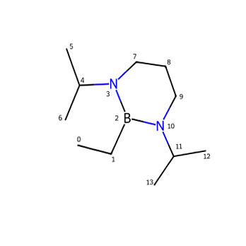 CCB1N(C(C)C)CCCN1C(C)C